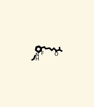 CCCNc1cccc(CCCCCC(=O)C(C)C)c1F